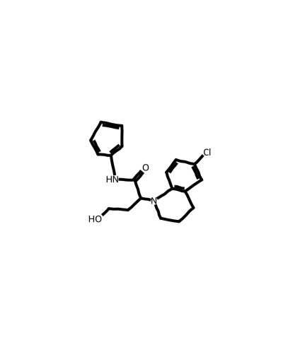 O=C(Nc1ccccc1)C(CCO)N1CCCc2cc(Cl)ccc21